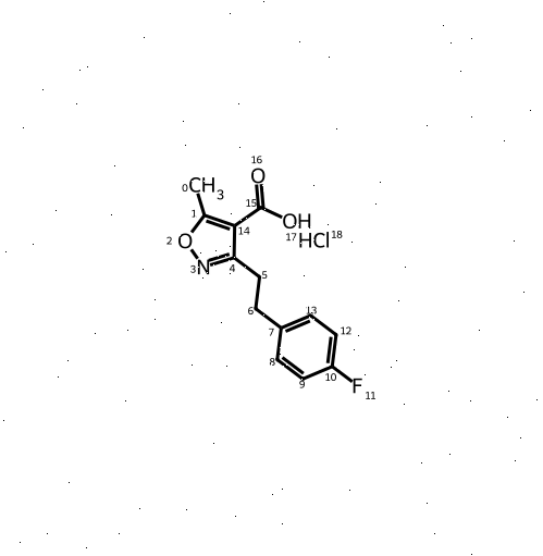 Cc1onc(CCc2ccc(F)cc2)c1C(=O)O.Cl